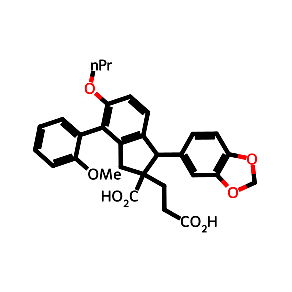 CCCOc1ccc2c(c1-c1ccccc1OC)CC(CCC(=O)O)(C(=O)O)C2c1ccc2c(c1)OCO2